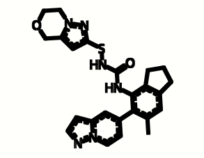 Cc1cc2c(c(NC(=O)NSc3cc4n(n3)CCOC4)c1-c1ccn3nccc3c1)CCC2